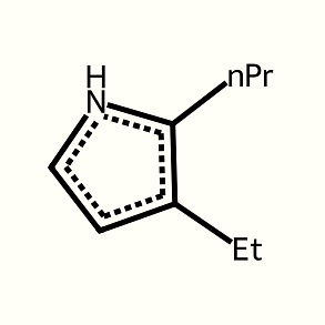 CCCc1[nH]ccc1CC